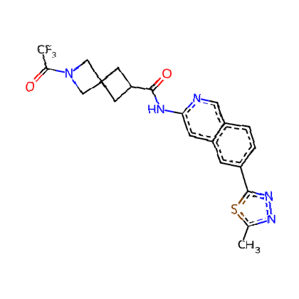 Cc1nnc(-c2ccc3cnc(NC(=O)C4CC5(C4)CN(C(=O)C(F)(F)F)C5)cc3c2)s1